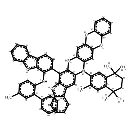 Cc1ccc(Nc2c(-c3c4c(cc5c3oc3ccccc35)N(c3cc5c(cc3C)C(C)(C)CCC5(C)C)c3cc5c(cc3B4)Oc3ccccc3O5)ccc3c2oc2ccccc23)c(-c2ccccc2)c1